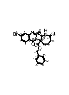 Cc1nc2cc(Br)ccc2c(=O)n1C1(C(=O)OCc2ccccc2)CCCC(=O)NC1=O